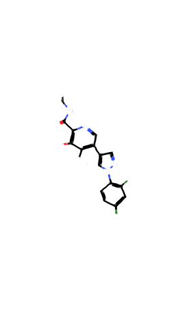 CCOC(=O)CNC(=O)c1ncc(-c2cnn(-c3ccc(Cl)cc3Cl)c2)c(C)c1O